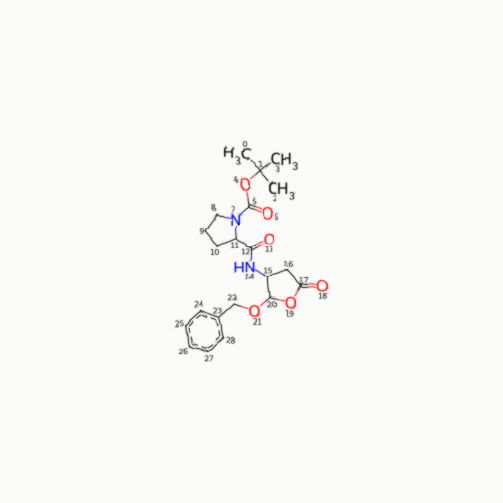 CC(C)(C)OC(=O)N1CCCC1C(=O)NC1CC(=O)OC1OCc1ccccc1